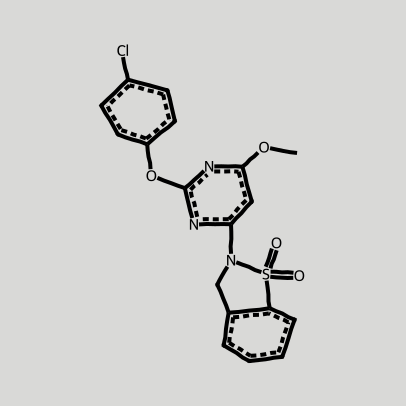 COc1cc(N2Cc3ccccc3S2(=O)=O)nc(Oc2ccc(Cl)cc2)n1